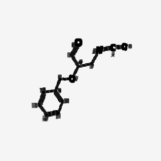 O=C=NCC(C=O)OCc1ccccc1